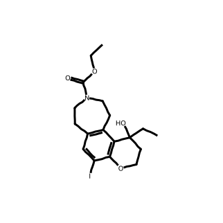 CCOC(=O)N1CCc2cc(I)c3c(c2CC1)C(O)(CC)CCO3